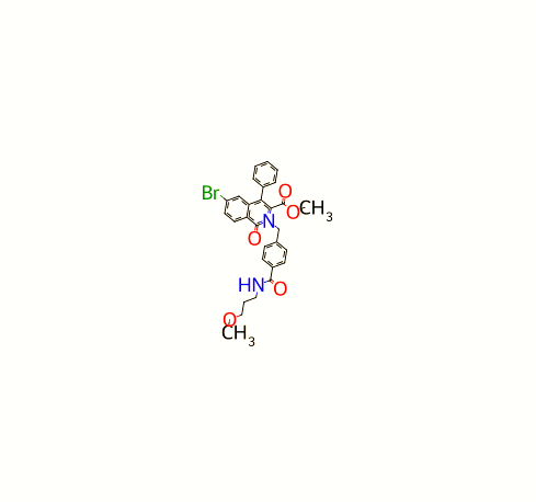 COCCCNC(=O)c1ccc(Cn2c(C(=O)OC)c(-c3ccccc3)c3cc(Br)ccc3c2=O)cc1